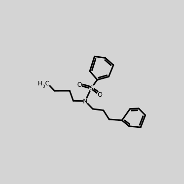 CCCCN(CCCc1ccccc1)S(=O)(=O)c1ccccc1